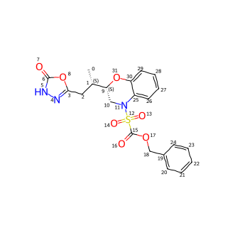 C[C@@H](Cc1n[nH]c(=O)o1)[C@H]1CN(S(=O)(=O)C(=O)OCc2ccccc2)c2ccccc2O1